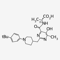 Cc1nc(CC2CCN(c3ccc(C(C)(C)C)cc3)CC2)nc(C(=O)N[C@@H](C)C(=O)O)c1O